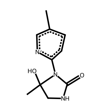 Cc1ccc(N2C(=O)NCC2(C)O)nc1